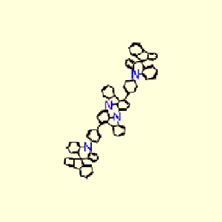 C1=C(c2ccc(N3c4ccccc4C4(c5ccccc5-c5ccccc54)c4ccccc43)cc2)C2c3ccccc3N3c4ccc(-c5ccc(N6c7ccccc7C7(c8ccccc8-c8ccccc87)c7ccccc76)cc5)c5c6ccccc6n(c45)C(=C1)C23